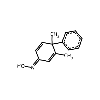 CC1=CC(=NO)C=CC1(C)c1ccccc1